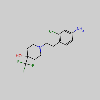 Nc1ccc(CCN2CCC(O)(C(F)(F)F)CC2)c(Cl)c1